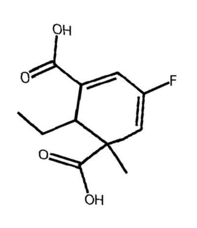 CCC1C(C(=O)O)=CC(F)=CC1(C)C(=O)O